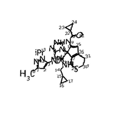 Cc1cc(Nc2nncn2C2(C(=O)NCC3CC3)C(NC(=O)C3CC3)=CC3=C2CSCC3)n(C(C)C)n1